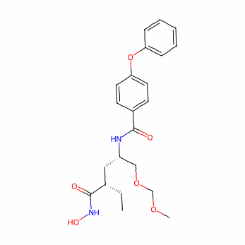 CC[C@@H](C[C@@H](COCOC)NC(=O)c1ccc(Oc2ccccc2)cc1)C(=O)NO